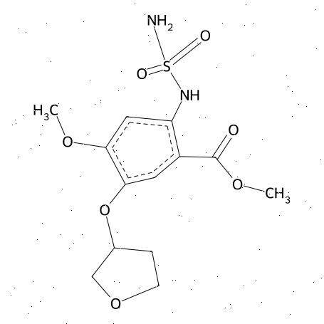 COC(=O)c1cc(OC2CCOC2)c(OC)cc1NS(N)(=O)=O